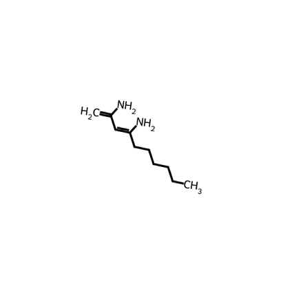 C=C(N)C=C(N)CCCCCC